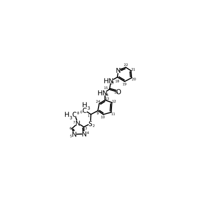 CC(Sc1nncn1C)c1cccc(NC(=O)Nc2ccccn2)c1